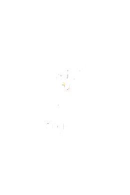 O=C(O)CCCCCCCS(=O)(=O)c1ccccc1